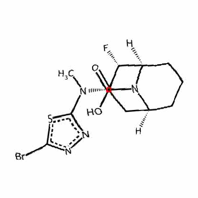 CN(c1nnc(Br)s1)[C@H]1C[C@@H]2CCC[C@H]([C@H]1F)N2C(=O)O